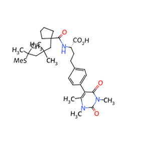 CSC(C)(C)CC(C)(C)CC1(C(=O)N[C@@H](CCc2ccc(-c3c(C)n(C)c(=O)n(C)c3=O)cc2)C(=O)O)CCCC1